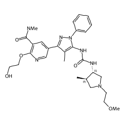 CNC(=O)c1cc(-c2nn(-c3ccccc3)c(NC(=O)N[C@@H]3CN(CCOC)C[C@H]3C)c2C)cnc1OCCO